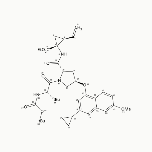 C=C[C@@H]1C[C@]1(NC(=O)[C@@H]1C[C@@H](Oc2cc(C3CC3)nc3cc(OC)ccc23)CN1C(=O)[C@@H](NC(=O)OC(C)(C)C)C(C)(C)C)C(=O)OCC